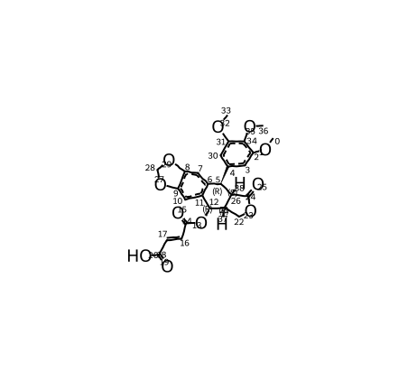 COc1cc([C@@H]2c3cc4c(cc3[C@H](OC(=O)C=CC(=O)O)[C@H]3COC(=O)[C@@H]23)OCO4)cc(OC)c1OC